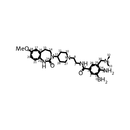 Bc1cc(C(=O)NCCN2CCC(N3CCc4cc(OC)ccc4NC3=O)CC2)cc(CN(C)C)c1N